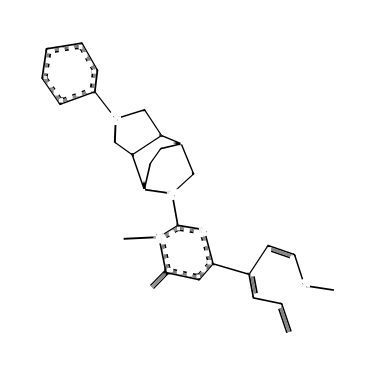 C=C/C=C(\C=C/NC)c1cc(=O)n(C)c(N2CC3CCC2C2CN(c4ccccc4)CC32)n1